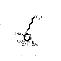 CC(=O)N[C@H]1[C@@H](OCCCCC(=O)O)O[C@H](COC(C)=O)[C@H](OC(C)=O)[C@@H]1OC(C)=O